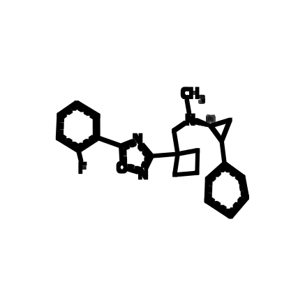 CN(CC1(c2noc(-c3ccccc3F)n2)CCC1)[C@H]1CC1c1ccccc1